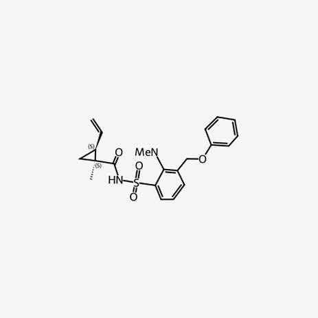 C=C[C@@H]1C[C@]1(C)C(=O)NS(=O)(=O)c1cccc(COc2ccccc2)c1NC